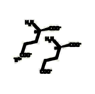 N[C@@H](CCC(=O)[O-])C(=O)[O-].N[C@@H](CCC(=O)[O-])C(=O)[O-].[Ti+4]